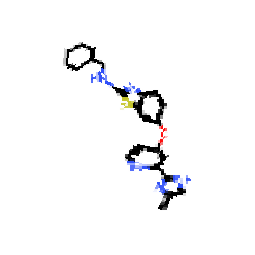 Cc1c[nH]c(-c2cc(Oc3ccc4nc(NCC5CCCCC5)sc4c3)ccn2)n1